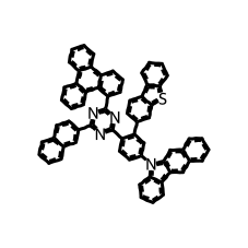 c1ccc2cc(-c3nc(-c4ccc(-n5c6ccccc6c6cc7ccccc7cc65)cc4-c4ccc5c(c4)sc4ccccc45)nc(-c4cccc5c6ccccc6c6ccccc6c45)n3)ccc2c1